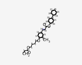 C=CC(=O)OCCCCOc1ccc(/C=C/C(=O)Oc2ccc(-c3ccccc3)cc2)cc1C